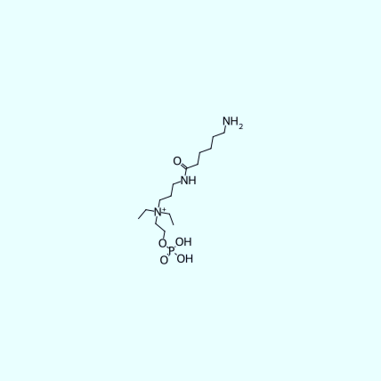 CC[N+](CC)(CCCNC(=O)CCCCCN)CCOP(=O)(O)O